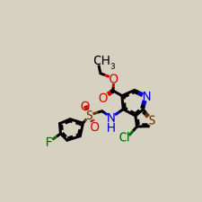 CCOC(=O)c1cnc2scc(Cl)c2c1NCS(=O)(=O)c1ccc(F)cc1